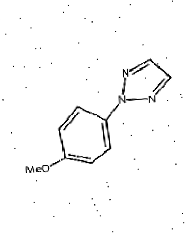 COc1ccc(-n2nccn2)cc1